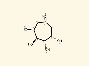 Cl.O[C@@H]1[C@@H](O)[C@@H](O)CNC[C@@H]1O